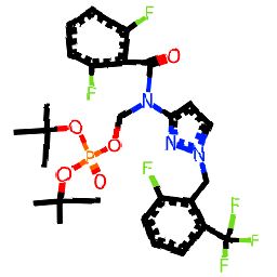 CC(C)(C)OP(=O)(OCN(C(=O)c1c(F)cccc1F)c1ccn(Cc2c(F)cccc2C(F)(F)F)n1)OC(C)(C)C